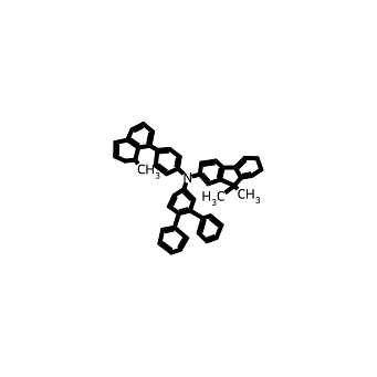 CC1CC=Cc2cccc(-c3ccc(N(c4ccc(-c5ccccc5)c(-c5ccccc5)c4)c4ccc5c(c4)C(C)(C)C4=CCCC=C45)cc3)c21